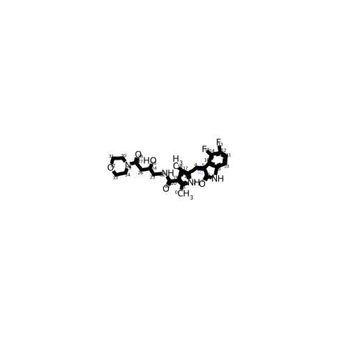 Cc1[nH]c(/C=C2\C(=O)Nc3ccc(F)c(F)c32)c(C)c1C(=O)NCC(O)CC(=O)N1CCOCC1